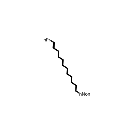 [CH2]CCC=CCCCCCCCCCCCCCCCCCC[CH2]